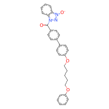 O=C(c1ccc(-c2ccc(OCCCCCOc3ccccc3)cc2)cc1)n1n[n+]([O-])c2ccccc21